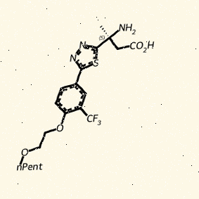 CCCCCOCCOc1ccc(-c2nnc([C@@](C)(N)CC(=O)O)s2)cc1C(F)(F)F